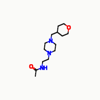 CC(=O)NCCN1CCN(CC2CCOCC2)CC1